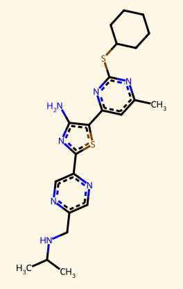 Cc1cc(-c2sc(-c3cnc(CNC(C)C)cn3)nc2N)nc(SC2CCCCC2)n1